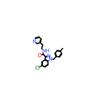 Cc1ccc(Cn2nc(C(=O)NCCc3cccnc3)c3cc(Cl)ccc32)cc1